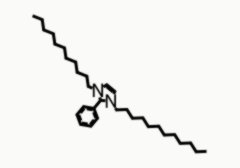 CCCCCCCCCCCCN1C=CN(CCCCCCCCCCC)C1c1ccccc1